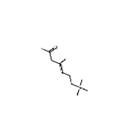 CC(=O)C/C(C)=N/CC[Si](C)(C)C